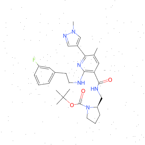 Cc1cc(C(=O)NC[C@H]2CCCN2C(=O)OC(C)(C)C)c(NCCc2cccc(F)c2)nc1-c1cnn(C)c1